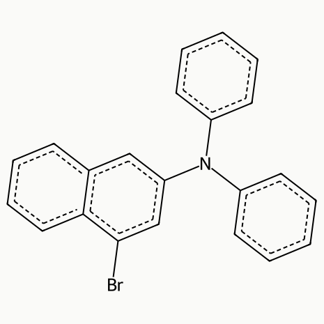 Brc1cc(N(c2ccccc2)c2ccccc2)cc2ccccc12